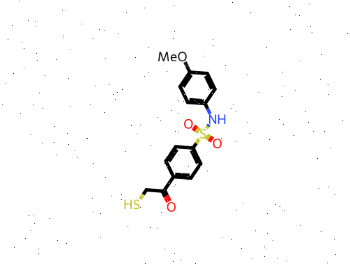 COc1ccc(NS(=O)(=O)c2ccc(C(=O)CS)cc2)cc1